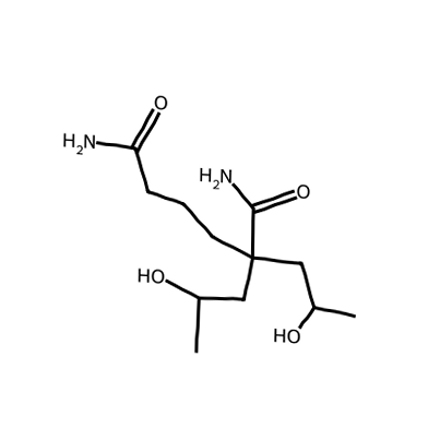 CC(O)CC(CCCC(N)=O)(CC(C)O)C(N)=O